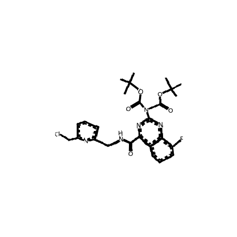 CC(C)(C)OC(=O)N(C(=O)OC(C)(C)C)c1nc(C(=O)NCc2cccc(CCl)n2)c2cccc(F)c2n1